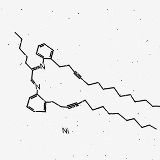 CCCCCCCCCCC#CCCc1ccccc1N=CC(CCCCC)=Nc1ccccc1CCC#CCCCCCCCCCC.[Ni]